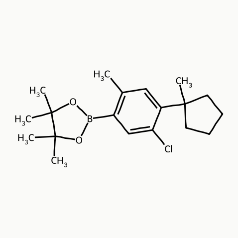 Cc1cc(C2(C)CCCC2)c(Cl)cc1B1OC(C)(C)C(C)(C)O1